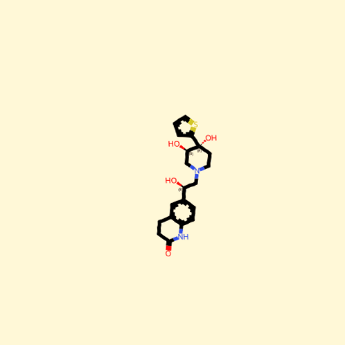 O=C1CCc2cc([C@@H](O)CN3CC[C@](O)(c4cccs4)[C@H](O)C3)ccc2N1